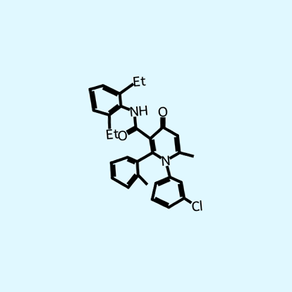 CCc1cccc(CC)c1NC(=O)c1c(-c2ccccc2C)n(-c2cccc(Cl)c2)c(C)cc1=O